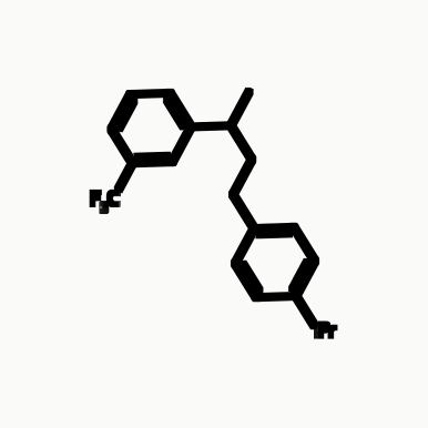 CC(C)c1ccc(CCC(C)c2cccc(C(F)(F)F)c2)cc1